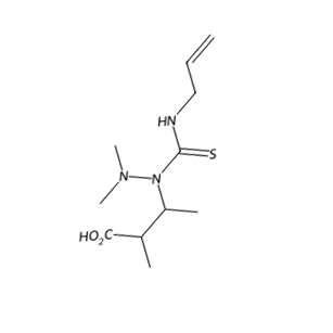 C=CCNC(=S)N(C(C)C(C)C(=O)O)N(C)C